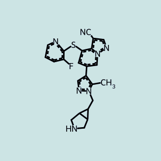 Cc1c(-c2cc(Sc3ncccc3F)c3c(C#N)cnn3c2)cnn1CC1C2CNCC21